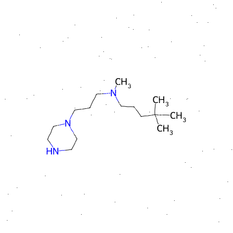 CN(CCCN1CCNCC1)CCCC(C)(C)C